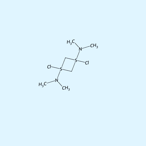 CN(C)S1(Cl)CS(Cl)(N(C)C)C1